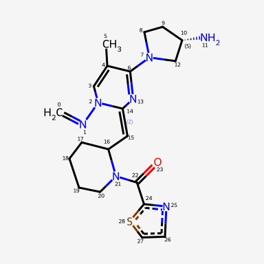 C=NN1C=C(C)C(N2CC[C@H](N)C2)=N/C1=C/C1CCCCN1C(=O)c1nccs1